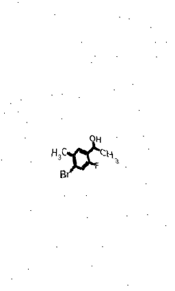 Cc1cc(C(C)O)c(F)cc1Br